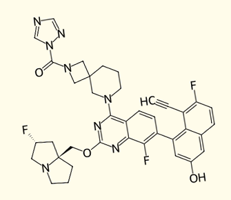 C#Cc1c(F)ccc2cc(O)cc(-c3ccc4c(N5CCCC6(CN(C(=O)n7cncn7)C6)C5)nc(OC[C@@]56CCCN5C[C@H](F)C6)nc4c3F)c12